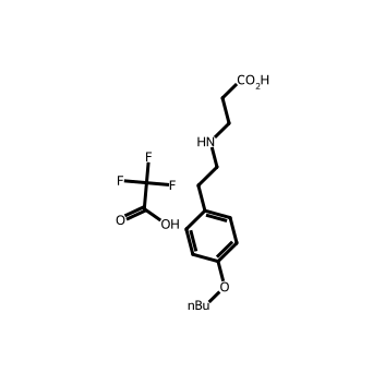 CCCCOc1ccc(CCNCCC(=O)O)cc1.O=C(O)C(F)(F)F